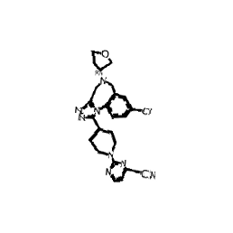 N#Cc1ccnc(N2CCC(c3nnc4n3-c3ccc(Cl)cc3CN([C@@H]3CCOC3)C4)CC2)n1